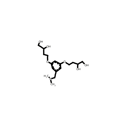 CN(C)Cc1cc(OCCC(O)CO)cc(OCCC(O)CO)c1